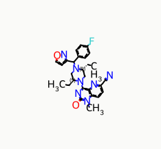 CC[C@H]1CN(C(c2ccc(F)cc2)c2ccon2)[C@H](CC)CN1c1nc(=O)n(C)c2ccc(C#N)nc12